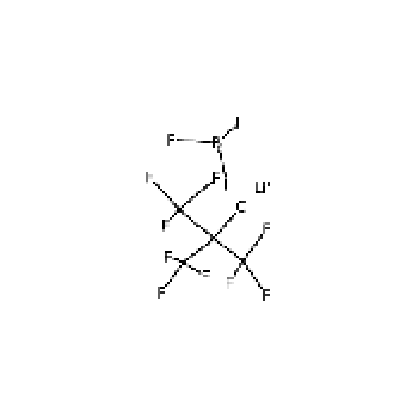 FB(F)F.[Li+].[O-]C(C(F)(F)F)(C(F)(F)F)C(F)(F)F